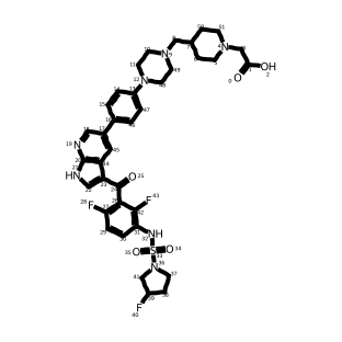 O=C(O)CN1CCC(CN2CCN(c3ccc(-c4cnc5[nH]cc(C(=O)c6c(F)ccc(NS(=O)(=O)N7CCC(F)C7)c6F)c5c4)cc3)CC2)CC1